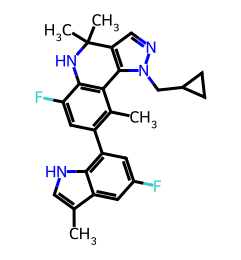 Cc1c(-c2cc(F)cc3c(C)c[nH]c23)cc(F)c2c1-c1c(cnn1CC1CC1)C(C)(C)N2